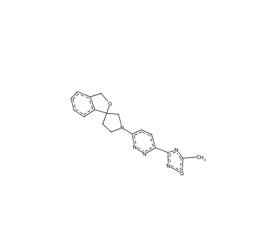 Cc1nc(-c2ccc(N3CCC4(C3)OCc3ccccc34)nn2)no1